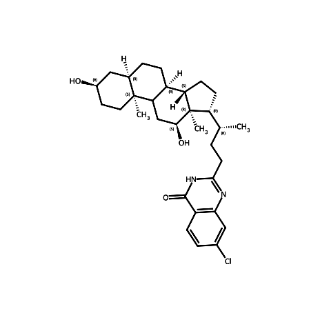 C[C@H](CCc1nc2cc(Cl)ccc2c(=O)[nH]1)[C@H]1CC[C@H]2[C@@H]3CC[C@@H]4C[C@H](O)CC[C@]4(C)C3C[C@H](O)[C@]12C